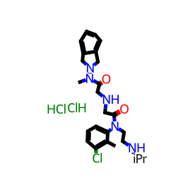 Cc1c(Cl)cccc1N(CCNC(C)C)C(=O)CNCC(=O)N(C)N1Cc2ccccc2C1.Cl.Cl